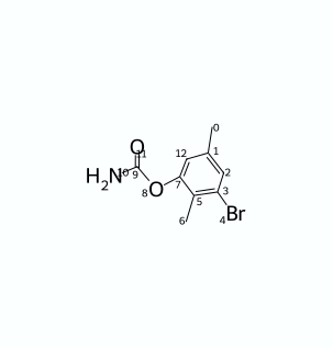 Cc1cc(Br)c(C)c(OC(N)=O)c1